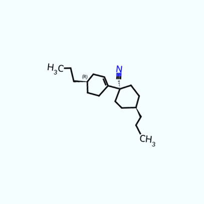 CCC[C@H]1CC=C([C@]2(C#N)CC[C@H](CCC)CC2)CC1